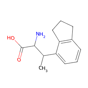 CC(c1cccc2c1CCC2)C(N)C(=O)O